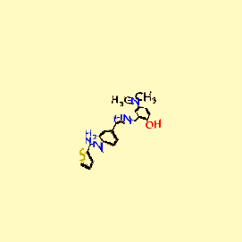 CN(C)c1ccc(O)c(CNCCc2ccc(/N=C(\N)c3cccs3)cc2)c1